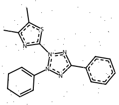 Cc1nc(-[n+]2nc(-c3ccccc3)nn2C2=CCCC=C2)sc1C